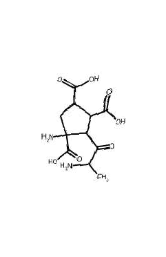 CC(N)C(=O)C1C(C(=O)O)C(C(=O)O)CC1(N)C(=O)O